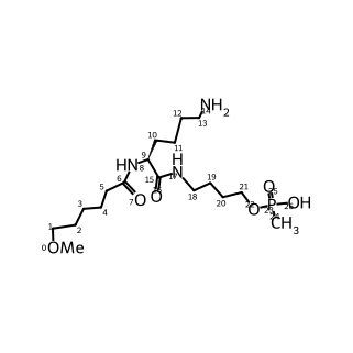 COCCCCCC(=O)N[C@@H](CCCCN)C(=O)NCCCCOP(C)(=O)O